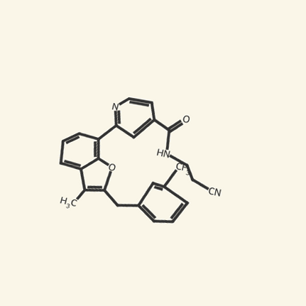 Cc1c(Cc2cccc(C(F)(F)F)c2)oc2c(-c3cc(C(=O)NCCC#N)ccn3)cccc12